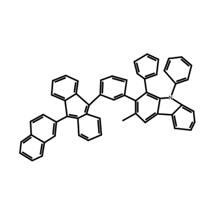 Cc1cc2c3ccccc3n(-c3ccccc3)c2c(-c2ccccc2)c1-c1cccc(-c2c3ccccc3c(-c3ccc4ccccc4c3)c3ccccc23)c1